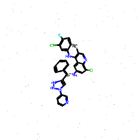 N#Cc1cnc2c(Cl)cc(N[C@H](C3=CN(c4cccnc4)NN3)c3ccccc3)cc2c1Nc1ccc(F)c(Cl)c1